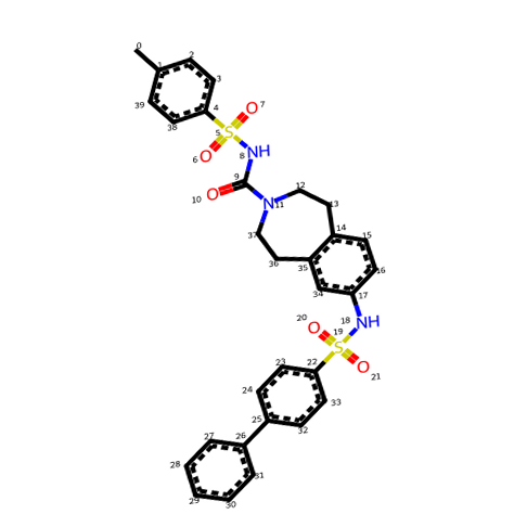 Cc1ccc(S(=O)(=O)NC(=O)N2CCc3ccc(NS(=O)(=O)c4ccc(-c5ccccc5)cc4)cc3CC2)cc1